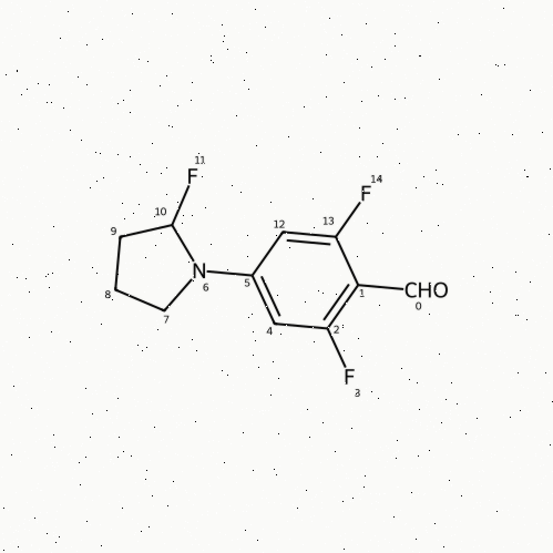 O=Cc1c(F)cc(N2CCCC2F)cc1F